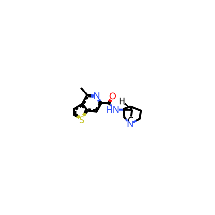 Cc1nc(C(=O)N[C@H]2CN3CCC2CC3)cc2sccc12